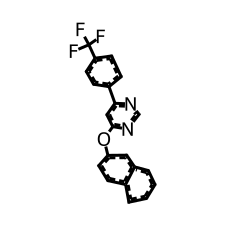 FC(F)(F)c1ccc(-c2cc(Oc3ccc4ccccc4c3)ncn2)cc1